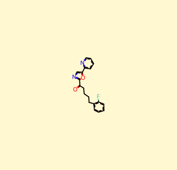 O=C(CCCCc1ccccc1F)c1ncc(-c2ccccn2)o1